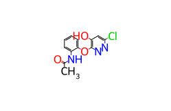 CC(=O)Nc1ccccc1Oc1nnc(Cl)cc1O